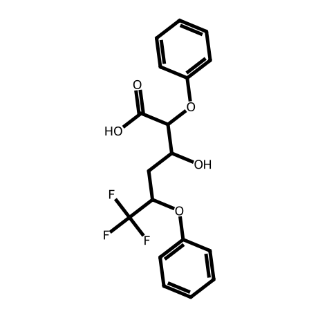 O=C(O)C(Oc1ccccc1)C(O)CC(Oc1ccccc1)C(F)(F)F